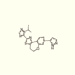 CC(C)n1ncnc1-c1nc2c(s1)CCOc1cc(-c3ccn[nH]3)ccc1-2